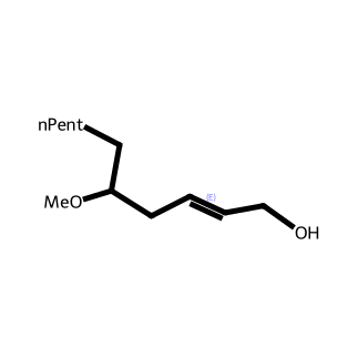 CCCCCCC(C/C=C/CO)OC